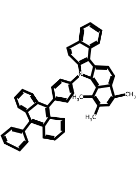 Cc1cc(C)c2ccc3c4c5ccccc5ccc4n(-c4ccc(-c5c6ccccc6c(-c6ccccc6)c6ccccc56)cc4)c3c2c1C